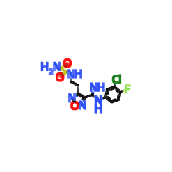 N=C(Nc1ccc(F)c(Cl)c1)c1nonc1CCNS(N)(=O)=O